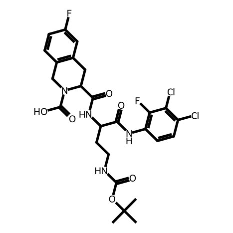 CC(C)(C)OC(=O)NCCC(NC(=O)C1Cc2cc(F)ccc2CN1C(=O)O)C(=O)Nc1ccc(Cl)c(Cl)c1F